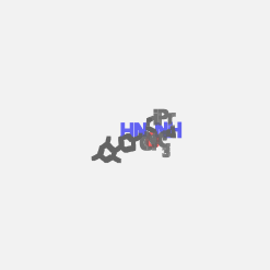 Cc1cc(C)c(-c2ccc([C@H](N[C@@H](CC(C)C)C(=O)NC3(C#N)CC3)C(F)(F)F)cc2)c(C)c1